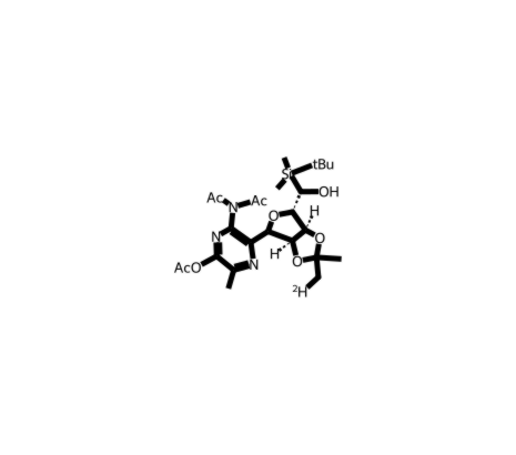 [2H]CC1(C)O[C@@H]2[C@@H](C(O)[Si](C)(C)C(C)(C)C)OC(c3nc(C)c(OC(C)=O)nc3N(C(C)=O)C(C)=O)[C@@H]2O1